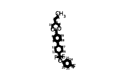 C/C=C/C1COC(c2ccc(C3CCC(C(F)(F)Oc4ccc(F)cc4)CC3)cc2)OC1